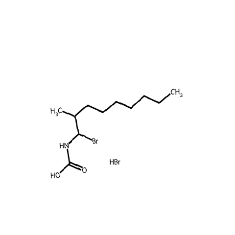 Br.CCCCCCCC(C)C(Br)NC(=O)O